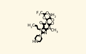 C=CCn1c(N2CCNCC2)nc2c1c(=O)n(C(OC(=O)C(F)(F)F)C(N)=O)c(=O)n2C